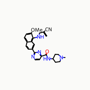 C=C(C#N)CNc1c(OC)ccc2ccc(-c3nccc(C(=O)NC4CCN(C)CC4)n3)cc12